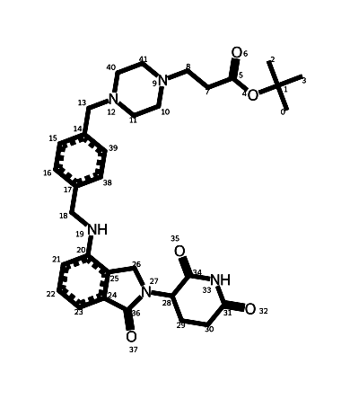 CC(C)(C)OC(=O)CCN1CCN(Cc2ccc(CNc3cccc4c3CN(C3CCC(=O)NC3=O)C4=O)cc2)CC1